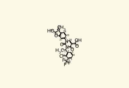 CC(c1cccc(C(F)(F)F)c1Cl)n1c(=O)c(C(=O)O)cn(-c2ccc3c(c2)OC(O)N3C)c1=O